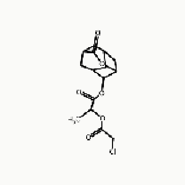 CC(OC(=O)CCl)C(=O)OC1C2CC3CC(C2)C(=O)OC1C3